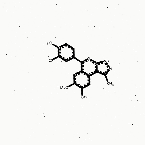 COc1cc2c(-c3ccc(O)c(Cl)c3)nc3[nH]nc(C)c3c2cc1OCC(C)C